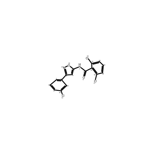 O=C(Nc1cc(-c2cccc(Cl)c2)no1)c1c(Cl)cccc1Cl